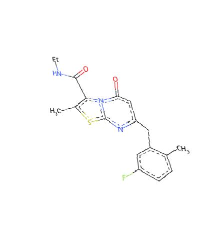 CCNC(=O)c1c(C)sc2nc(Cc3cc(F)ccc3C)cc(=O)n12